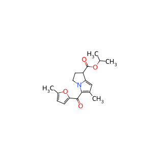 Cc1ccc(C(=O)c2c(C)cc3n2CCC3C(=O)OC(C)C)o1